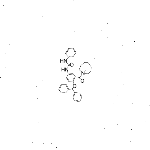 O=C(Nc1ccccc1)Nc1ccc(OC(c2ccccc2)c2ccccc2)c(C(=O)N2CCCCCCC2)c1